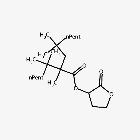 CCCCCC(C)(C)CC(C)(C(=O)OC1CCOC1=O)C(C)(C)CCCCC